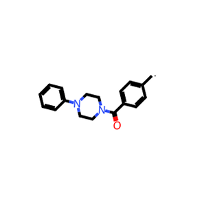 [CH2]c1ccc(C(=O)N2CCN(c3ccccc3)CC2)cc1